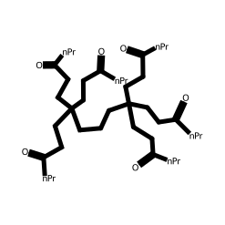 CCCC(=O)CCC(CCCC(CCC(=O)CCC)(CCC(=O)CCC)CCC(=O)CCC)(CCC(=O)CCC)CCC(=O)CCC